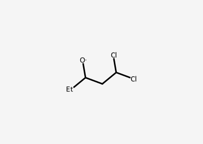 CCC([O])CC(Cl)Cl